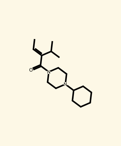 C/C=C(/C(=O)N1CCN(C2CCCCC2)CC1)C(C)C